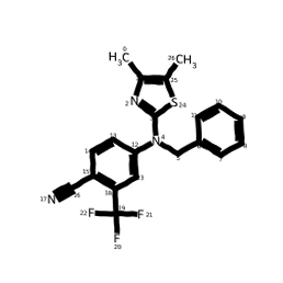 Cc1nc(N(Cc2ccccc2)c2ccc(C#N)c(C(F)(F)F)c2)sc1C